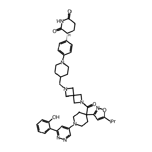 CC(C)c1cc(C2(C(=O)N3CC4(CN(CC5CCN(c6ccc([C@H]7CCC(=O)NC7=O)cc6)CC5)C4)C3)CCN(c3cnnc(-c4ccccc4O)c3)CC2)no1